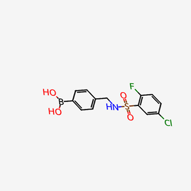 O=S(=O)(NCc1ccc(B(O)O)cc1)c1cc(Cl)ccc1F